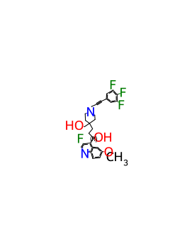 COc1ccc2ncc(F)c([C@H](O)CCC3(CO)CCN(CC#Cc4cc(F)c(F)c(F)c4)CC3)c2c1